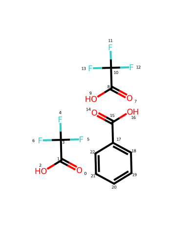 O=C(O)C(F)(F)F.O=C(O)C(F)(F)F.O=C(O)c1ccccc1